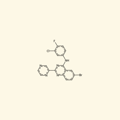 Fc1ccc(Nc2nc(-c3cnccn3)nc3ccc(Br)cc23)cc1Cl